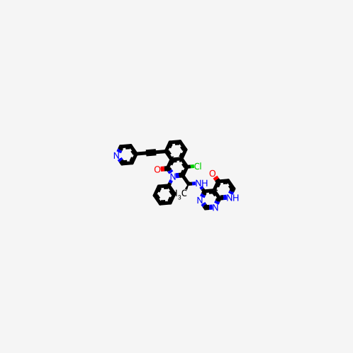 C[C@H](Nc1ncnc2[nH]ccc(=O)c12)c1c(Cl)c2cccc(C#Cc3ccncc3)c2c(=O)n1-c1ccccc1